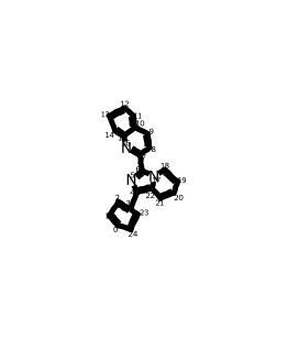 c1ccc(-c2nc(-c3ccc4ccccc4n3)n3ccccc23)cc1